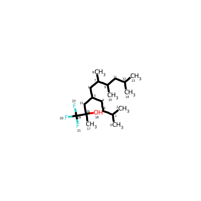 CC(C)CCC(CC(C)C(C)CC(C)C)CC(C)(O)C(F)(F)F